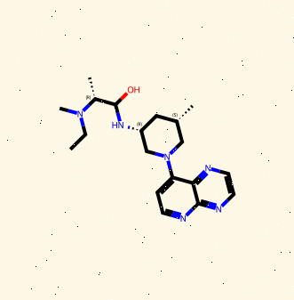 CCN(C)[C@H](C)C(O)N[C@@H]1C[C@H](C)CN(c2ccnc3nccnc23)C1